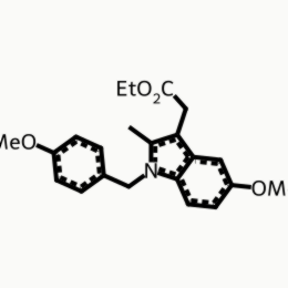 CCOC(=O)Cc1c(C)n(Cc2ccc(OC)cc2)c2ccc(OC)cc12